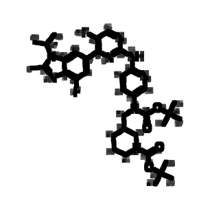 Cc1nc2c(F)cc(-c3nc(Nc4ccc(N(CC5CCCN(C(=O)OC(C)(C)C)C5)C(=O)OC(C)(C)C)cn4)ncc3F)cc2n1C(C)C